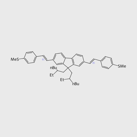 CCCCC(CC)CC1(CC(CC)CCCC)c2cc(/C=C/c3ccc(SC)cc3)ccc2-c2ccc(/C=C/c3ccc(SC)cc3)cc21